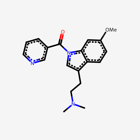 COc1ccc2c(CCN(C)C)cn(C(=O)c3cccnc3)c2c1